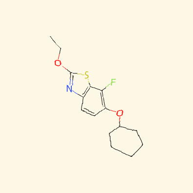 CCOc1nc2ccc(OC3CCCCC3)c(F)c2s1